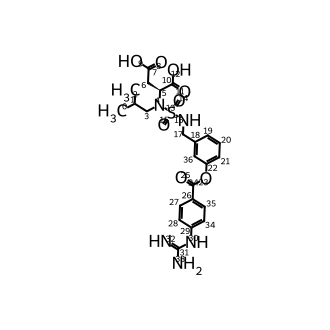 CC(C)CN([C@@H](CC(=O)O)C(=O)O)S(=O)(=O)NCc1cccc(OC(=O)c2ccc(NC(=N)N)cc2)c1